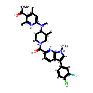 COC(=O)c1c(C)cc(N(C)C2CCN(C(=O)c3ccc4c(-c5ccc(Cl)c(F)c5)cn(C(C)(C)C)c4n3)CC2C)nc1C